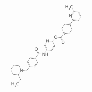 CCC1CCCCN1Cc1ccc(C(=O)Nc2ccc(OC(=O)N3CCN(c4cccc(C)n4)CC3)nc2)cc1